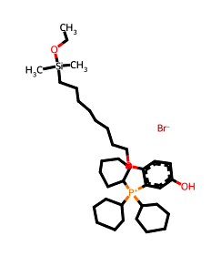 CCO[Si](C)(C)CCCCCCCCOc1ccc(O)cc1[P+](C1CCCCC1)(C1CCCCC1)C1CCCCC1.[Br-]